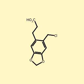 O=C(O)CCc1cc2c(cc1CCl)OCO2